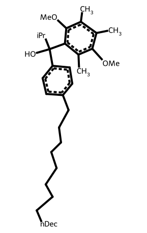 CCCCCCCCCCCCCCCCCCc1ccc(C(O)(c2c(C)c(OC)c(C)c(C)c2OC)C(C)C)cc1